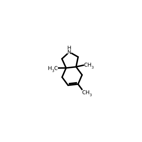 CC1=CCC2(C)CNCC2(C)C1